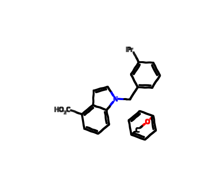 CC(C)c1cccc(Cn2ccc3c(C(=O)O)cccc32)c1.c1cc2ccc1CO2